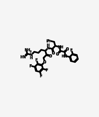 CC(C)CC(NC(=O)C(=O)Nc1ccccc1F)C(=O)NC(CCCNC(=N)N)C(=O)COc1c(F)c(F)cc(F)c1F